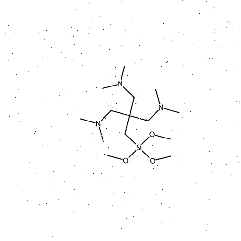 CO[Si](CC(CN(C)C)(CN(C)C)CN(C)C)(OC)OC